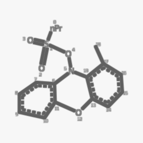 CCCS(=O)(=O)ON1c2ccccc2Oc2cccc(C)c21